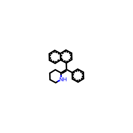 c1ccc(C(=C2CCCCN2)c2cccc3ccccc23)cc1